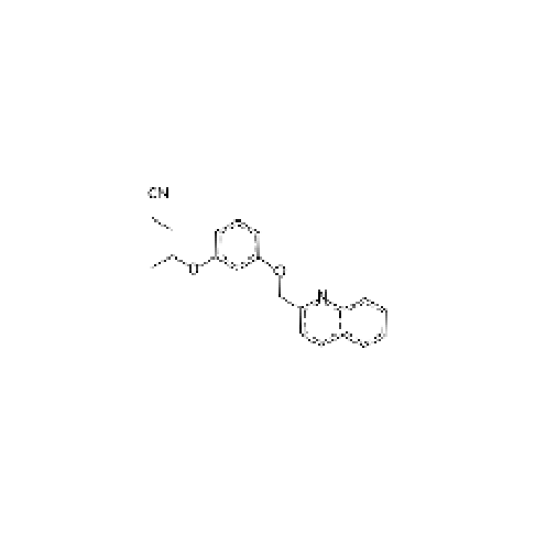 CC(CCC#N)Oc1cccc(OCc2ccc3ccccc3n2)c1